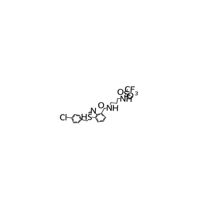 O=C(NCCCNS(=O)(=O)C(F)(F)F)c1cccc2c1N=C[SH]2Cc1ccc(Cl)cc1